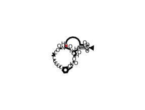 CC1(C)CCCCCc2cccc3c2CN(C3)C(=O)O[C@H]2C[C@H]3C(=O)NC(C(=O)NS(=O)(=O)C4CC4)CCCCCCCC[C@H](NC(=O)OC1)C(=O)N3C2